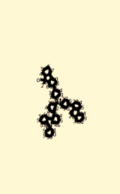 CC1(C)c2ccccc2-c2ccc(-c3ccc(N(c4ccc(-c5cccc6c5ccc5ccccc56)cc4)c4cccc(-c5cccc6c5c5ccccc5n6-c5ccccc5)c4)cc3)cc21